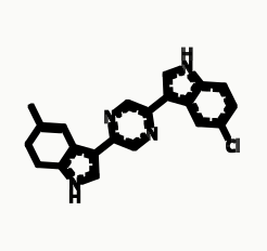 CC1=Cc2c(-c3cnc(-c4c[nH]c5ccc(Cl)cc45)cn3)c[nH]c2CC1